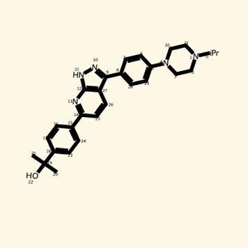 CC(C)N1CCN(c2ccc(-c3n[nH]c4nc(-c5ccc(C(C)(C)O)cc5)ccc34)cc2)CC1